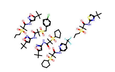 CC(C)(C(=O)Nc1ccc(C(F)(F)F)cn1)S(=O)(=O)C1CCCCC1.CC(C)(C)c1cc(NC(=O)C(C)(C)S(=O)(=O)C2CCCC2)no1.CC(C)(C)c1cc(NC(=O)C(C)(C)S(=O)(=O)Cc2ccc(Cl)cc2)no1.CCCS(=O)(=O)C(C)(C)C(=O)Nc1cc(C(C)(C)C)on1.CCCS(=O)(=O)C(C)(C)C(=O)Nc1nc(C(C)(C)C)cs1